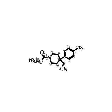 CC(C)c1ccc(C2(CC#N)CCN(C(=O)OC(C)(C)C)CC2)cc1